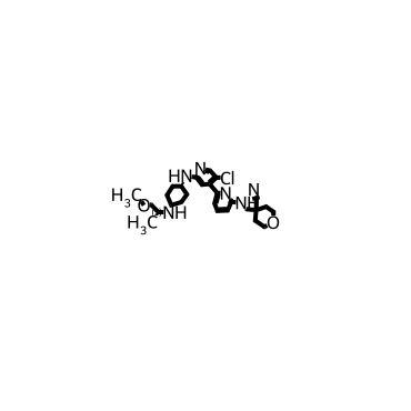 COC[C@H](C)N[C@H]1CC[C@@H](Nc2cc(-c3cccc(NCC4(C#N)CCOCC4)n3)c(Cl)cn2)CC1